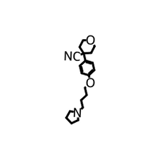 N#CC1(c2ccc(OCCCCN3CCCC3)cc2)CCOCC1